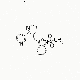 CS(=O)(=O)n1cc(/C=C2\CCCN=C2c2cccnc2)c2ccccc21